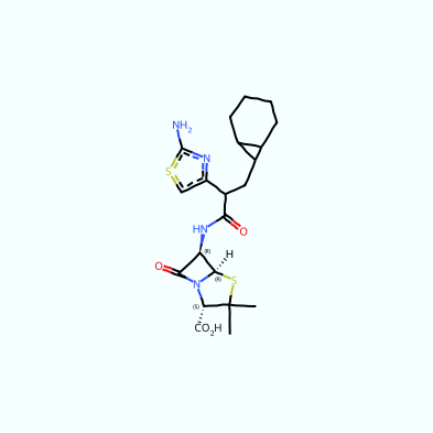 CC1(C)S[C@@H]2[C@H](NC(=O)C(CC3C4CCCCC43)c3csc(N)n3)C(=O)N2[C@H]1C(=O)O